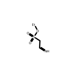 CCOS(=O)(=O)CC=N